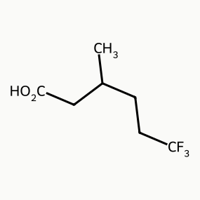 CC(CCC(F)(F)F)CC(=O)O